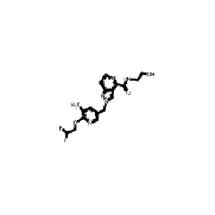 Cc1cc(Cn2cc3c(C(=O)NCCO)nccc3n2)cnc1OCC(F)F